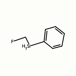 FC[SiH2]c1ccccc1